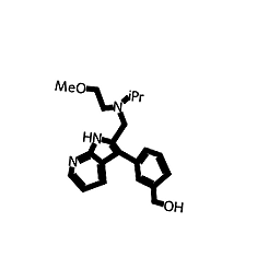 COCCN(Cc1[nH]c2ncccc2c1-c1cccc(CO)c1)C(C)C